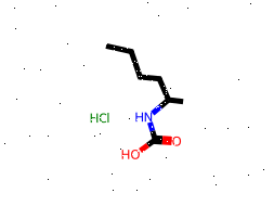 CCCCC(C)NC(=O)O.Cl